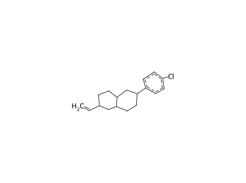 C=CC1CCC2CC(c3ccc(Cl)cc3)CCC2C1